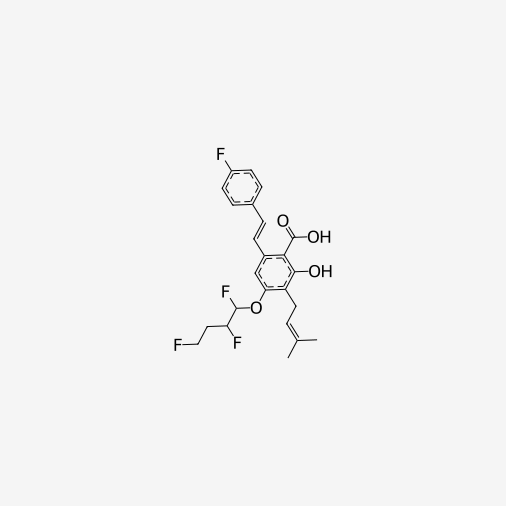 CC(C)=CCc1c(OC(F)C(F)CCF)cc(C=Cc2ccc(F)cc2)c(C(=O)O)c1O